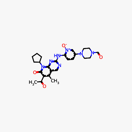 CC(=O)c1c(C)c2cnc(Nc3ccc(N4CCN(C=O)CC4)c[n+]3[O-])nc2n(C2CCCC2)c1=O